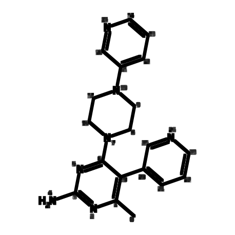 Cc1nc(N)nc(N2CCN(c3cccnc3)CC2)c1-c1cccnc1